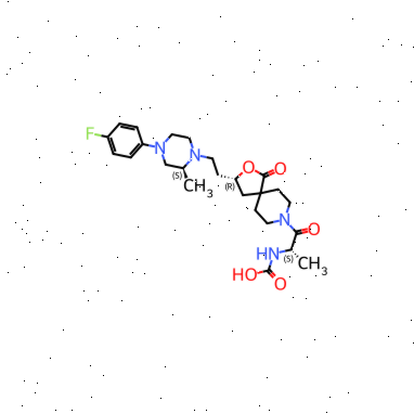 C[C@H](NC(=O)O)C(=O)N1CCC2(CC1)C[C@H](CCN1CCN(c3ccc(F)cc3)C[C@@H]1C)OC2=O